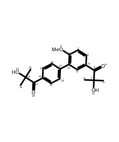 COc1ccc(C(=O)C(C)(C)O)cc1-c1ccc(C(=O)C(C)(C)O)cc1